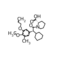 C=CCOc1cc([C@@H](C(=O)N2CCCC[C@H]2C(=O)O)C2CCCCC2)cc(C)c1OC